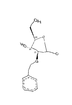 [O]C1O[C@H](CO)[C@@H](O)[C@@H]1OCc1ccccc1